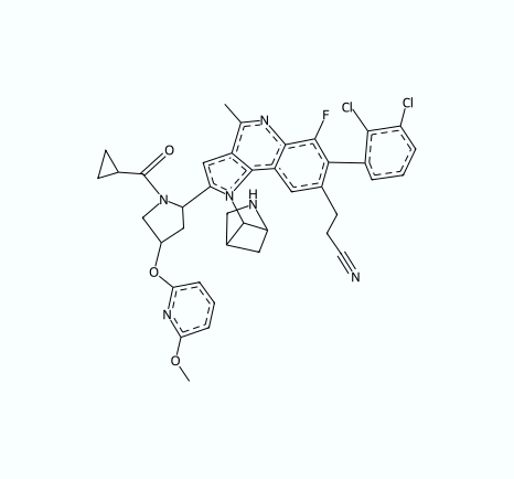 COc1cccc(OC2CC(c3cc4c(C)nc5c(F)c(-c6cccc(Cl)c6Cl)c(CCC#N)cc5c4n3C3C4CNC3C4)N(C(=O)C3CC3)C2)n1